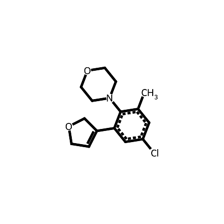 Cc1cc(Cl)cc(C2=CCOC2)c1N1CCOCC1